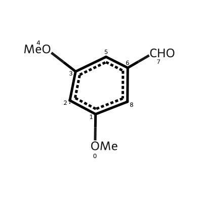 COc1[c]c(OC)cc(C=O)c1